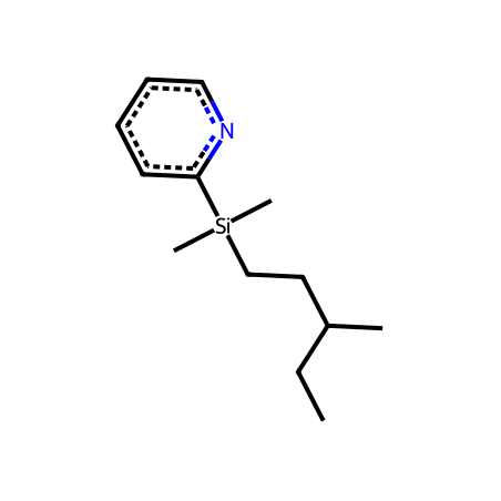 CCC(C)CC[Si](C)(C)c1ccccn1